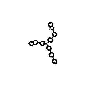 c1ccc(-c2ccc(-c3ccc(N(c4ccc(-c5cccc(-c6cc7ccccc7o6)c5)cc4)c4ccc(-c5ccc6ccccc6c5)cc4)cc3)cc2)cc1